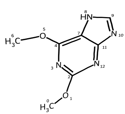 COc1nc(OC)c2[nH]cnc2n1